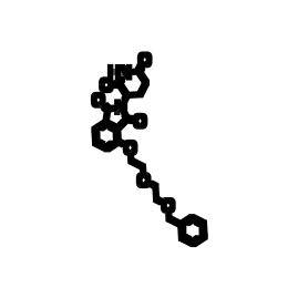 O=C1CCC(N2C(=O)c3cccc(OCCOCCOCc4ccccc4)c3C2=O)C(=O)N1